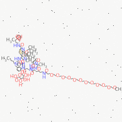 C=C(C)CO[C@H](C[C@H](C(C)C)N(C)C(=O)[C@@H](NC(=O)C[N+](C)(CCCCC)Cc1ccc(O[C@@H]2O[C@H](C(=O)O)[C@@H](O)[C@H](O)[C@H]2O)c(NC(=O)CCNC(=O)[C@H](CCCCNC(=O)CCOCCOCCOCCOCCOCCOCCOCCOCCOCCOCCOCCOC)NC(=O)[C@H](C)N2C(=O)C=CC2=O)c1)[C@@H](C)CC)c1nc(C(=O)N[C@@H](Cc2ccccc2)C[C@H](C)C(=O)O)cs1